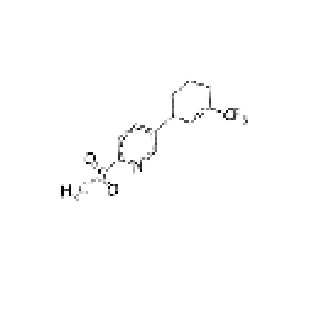 CS(=O)(=O)c1ccc(C2C=C(C(F)(F)F)CCC2)cn1